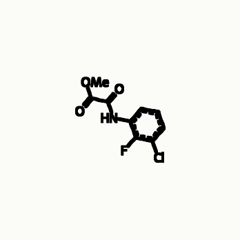 COC(=O)C(=O)Nc1cccc(Cl)c1F